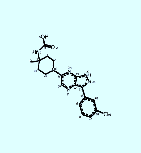 CC1(NC(=O)O)CCN(c2cnc3c(-c4cccc(Cl)c4)n[nH]c3n2)CC1